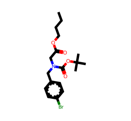 CCCCOC(=O)CN(Cc1ccc(Br)cc1)C(=O)OC(C)(C)C